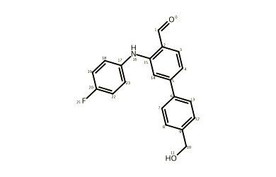 O=Cc1ccc(-c2ccc(CO)cc2)cc1Nc1ccc(F)cc1